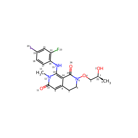 C[C@H](O)CON1CCc2cc(=O)n(C)c(Nc3ccc(I)cc3F)c2C1=O